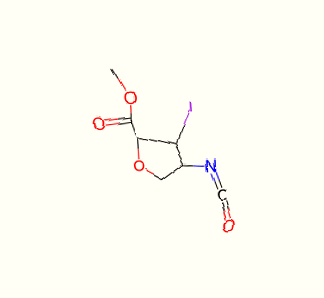 COC(=O)C1OCC(N=C=O)C1I